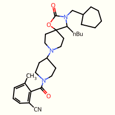 CCCCC1N(CC2CCCCC2)C(=O)OC12CCN(C1CCN(C(=O)c3c(C)cccc3C#N)CC1)CC2